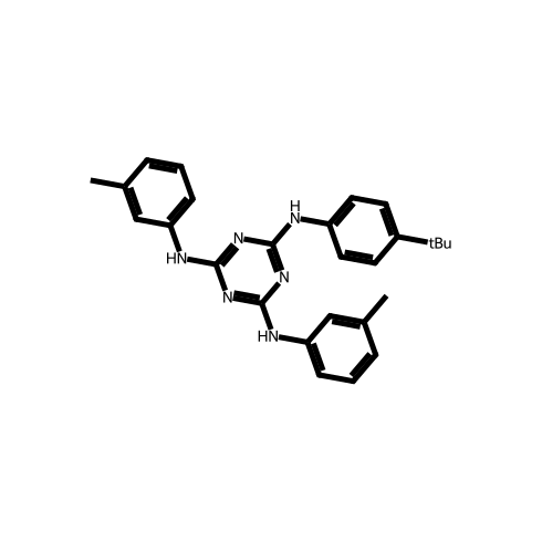 Cc1cccc(Nc2nc(Nc3ccc(C(C)(C)C)cc3)nc(Nc3cccc(C)c3)n2)c1